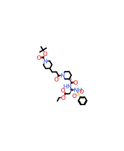 CCOC(=O)C[C@@H](NC(=O)[C@@H]1CCCN(C(=O)CCC2CCN(C(=O)OC(C)(C)C)CC2)C1)NS(=O)(=O)c1ccccc1